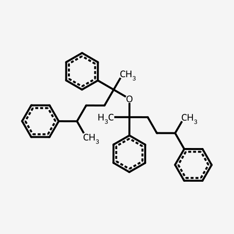 CC(CCC(C)(OC(C)(CCC(C)c1ccccc1)c1ccccc1)c1ccccc1)c1ccccc1